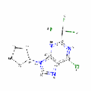 FC(F)(F)c1nc(Cl)c2ncn(C3CCCC3)c2n1